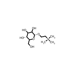 C[Si](C)(C)CCO[C@@H]1OC(CO)[C@H](O)C(O)C1O